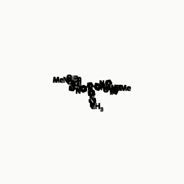 CNC(=O)O[C@H](C(=O)N1CCC[C@H]1c1nc2ccc([C@H]3CC[C@H](c4ccc5[nH]c([C@@H]6CCCN6C(=O)[C@@H](NC(=O)OC)C(C)C)nc5c4)N3c3ccc(N4CCN(C)CC4)cc3)cc2[nH]1)C(C)C